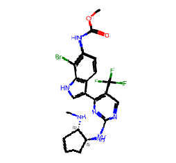 CN[C@H]1CCC[C@@H]1Nc1ncc(C(F)(F)F)c(-c2c[nH]c3c(Br)c(NC(=O)OC)ccc23)n1